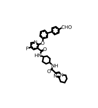 O=Cc1ccc(-c2cccc(Oc3ncc(F)cc3C(=O)NC3CCC(NC(=O)c4cn5c(n4)CCCC5)CC3)c2)cc1